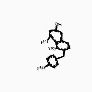 Oc1ccc(Cc2ccc3cc(O)cc(O)c3c2O)cc1